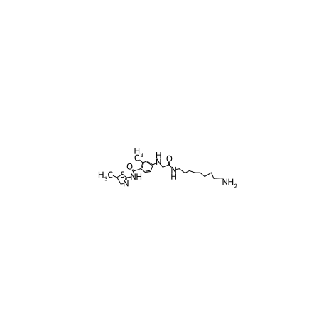 Cc1cc(NCC(=O)NCCCCCCCCCN)ccc1C(=O)NC1=NCC(C)S1